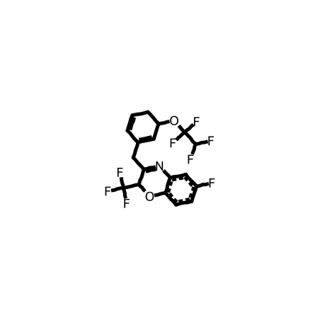 Fc1ccc2c(c1)N=C(CC1=CC(OC(F)(F)C(F)F)CC=C1)C(C(F)(F)F)O2